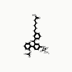 CS(=O)(=O)Nc1ccc2c(c1)C(c1cccc(CCCCCC(=O)O)c1)Oc1cccc(OC(F)F)c1-2